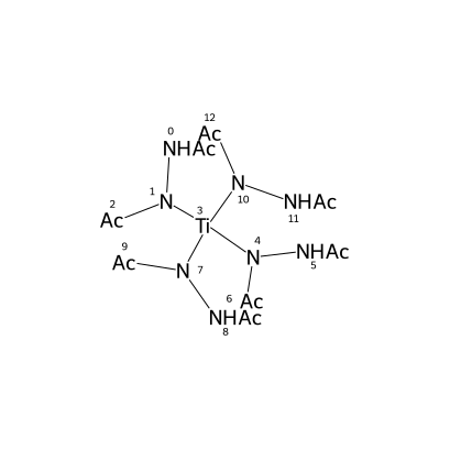 CC(=O)N[N](C(C)=O)[Ti]([N](NC(C)=O)C(C)=O)([N](NC(C)=O)C(C)=O)[N](NC(C)=O)C(C)=O